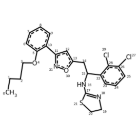 CCCCOc1ccccc1-c1cc(CC(NC2=NCCS2)c2cccc(Cl)c2Cl)on1